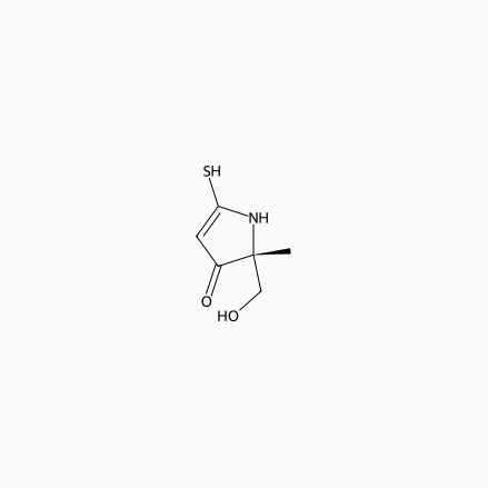 C[C@]1(CO)NC(S)=CC1=O